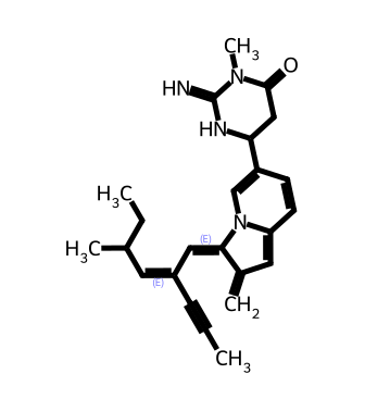 C=c1cc2ccc(C3CC(=O)N(C)C(=N)N3)cn2/c1=C/C(C#CC)=C\C(C)CC